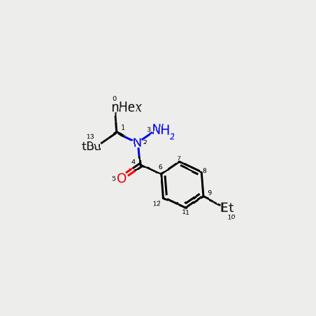 CCCCCCC(N(N)C(=O)c1ccc(CC)cc1)C(C)(C)C